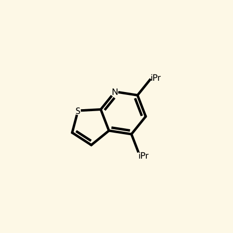 CC(C)c1cc(C(C)C)c2ccsc2n1